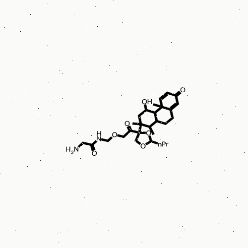 CCCC1OCC(C(=O)COCNC(=O)CN)(C2(C)CC(O)C3C(CCC4=CC(=O)C=CC43C)C2C)O1